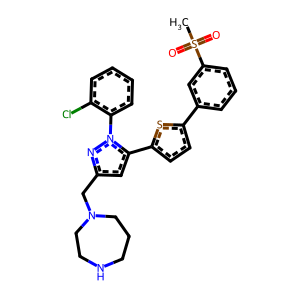 CS(=O)(=O)c1cccc(-c2ccc(-c3cc(CN4CCCNCC4)nn3-c3ccccc3Cl)s2)c1